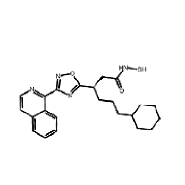 O=C(C[C@@H](CCCC1CCCCC1)c1nc(-c2nccc3ccccc23)no1)NO